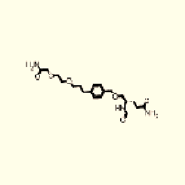 NC(=O)CC[C@@H](COCc1ccc(CCCOCCOCC(N)=O)cc1)NC=O